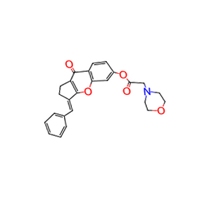 O=C(CN1CCOCC1)Oc1ccc2c(=O)c3c(oc2c1)C(=Cc1ccccc1)CC3